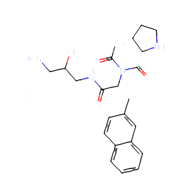 CC(C)(C)C(=O)N(C(=O)[C@@H]1CCCN1)[C@H](Cc1ccc2ccccc2c1)C(=O)NCC(O)CN.Cl